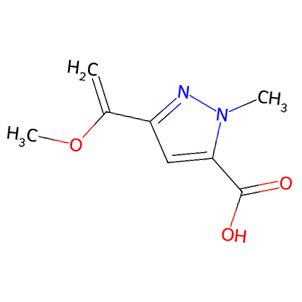 C=C(OC)c1cc(C(=O)O)n(C)n1